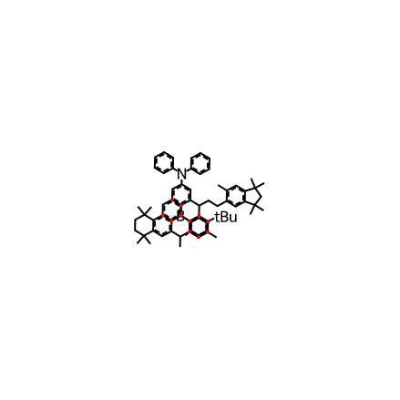 Cc1cc(C)c2c(c1)C(CCc1cc3c(cc1C)C(C)(C)CC3(C)C)c1cc(N(c3ccccc3)c3ccccc3)ccc1B2c1cc2c(cc1C(C)c1ccc(C(C)(C)C)cc1-c1ccccc1)C(C)(C)CCC2(C)C